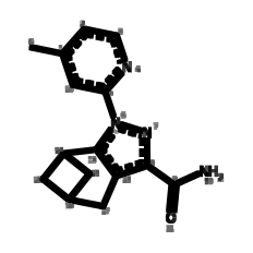 Cc1ccnc(-n2nc(C(N)=O)c3c2C2CC(C3)C2)c1